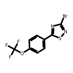 FC(F)(F)Oc1ccc(-c2nc(Br)ns2)cc1